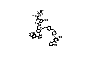 CC(C)(C)C(NC(=O)C1(F)CC1)C(=O)N1C[C@H](O)C[C@H]1C(=O)NCc1ccc(-c2scnc2-c2ccc3cn[nH]c3c2)cc1OCCc1ccc(CN2CCN(c3cc(-c4ccccc4O)nnc3N)CC2)cc1